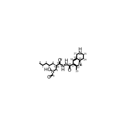 CCCCC[C@H](CN(O)C=O)C(=O)NNC(=O)c1cc2c(nc1C)CCNC2